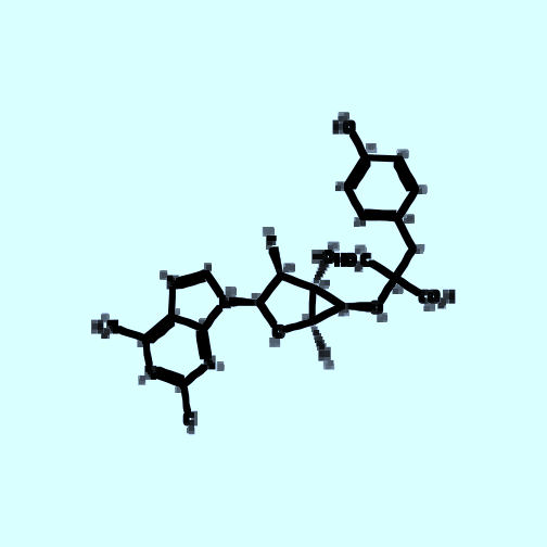 Nc1nc(Cl)nc2c1ncn2[C@@H]1O[C@@H]2[C@H](OC(Cc3ccc(O)cc3)(C(=O)O)C(=O)O)[C@]2(O)[C@@H]1F